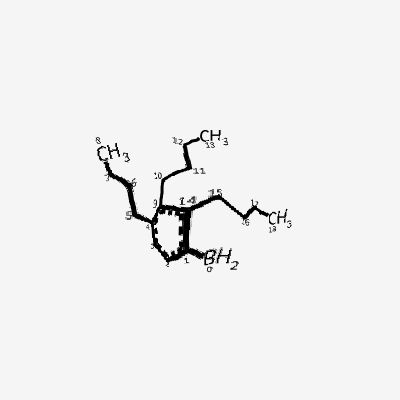 Bc1ccc(CCCC)c(CCCC)c1CCCC